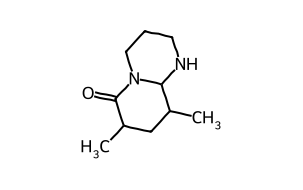 CC1CC(C)C2NCCCN2C1=O